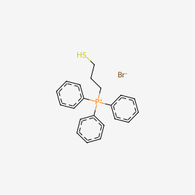 SCCC[P+](c1ccccc1)(c1ccccc1)c1ccccc1.[Br-]